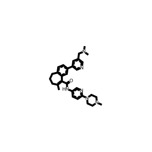 CC1=C(C(=O)Nc2ccc(N3CCN(C)CC3)nc2)c2cc(-c3cncc(CN(C)C)c3)ccc2CCC1